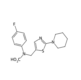 O=C(O)N(Cc1cnc(N2CCCCC2)s1)c1ccc(F)cc1